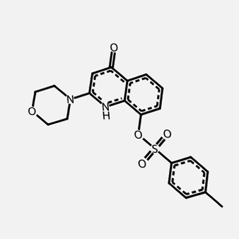 Cc1ccc(S(=O)(=O)Oc2cccc3c(=O)cc(N4CCOCC4)[nH]c23)cc1